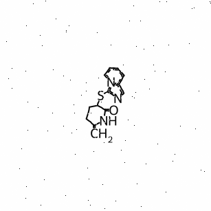 C=C1CCC(Sc2ncc3ccccn23)C(=O)N1